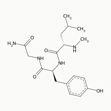 CN[C@@H](CC(C)C)C(=O)N[C@@H](Cc1ccc(O)cc1)C(=O)NCC(N)=O